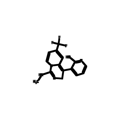 CNC1=NCC(c2cccnc2O)=C2C=C(C(F)(F)F)C=CN12